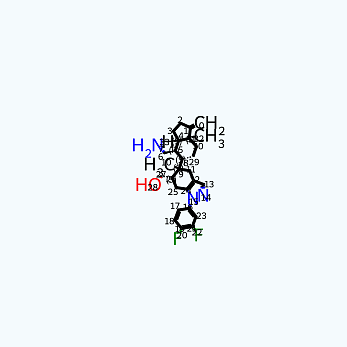 C=C1CC[C@H]2[C@H](CN)[C@@H]([C@]3(C)Cc4cnn(-c5ccc(F)c(F)c5)c4C[C@@H]3CO)CC[C@]12C